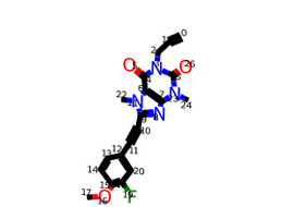 C#CCn1c(=O)c2c(nc(C#Cc3ccc(OC)c(F)c3)n2C)n(C)c1=O